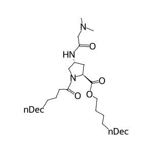 CCCCCCCCCCCCCCOC(=O)[C@@H]1C[C@@H](NC(=O)CN(C)C)CN1C(=O)CCCCCCCCCCCCC